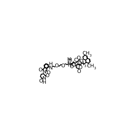 CC1C=C2C=CC(C)C(CC[C@@H]3C[C@@H](O)CC(=O)O3)C2C(OC(=O)C(C)(C)CCC(=O)NCCOCCOCCNc2cccc3c2C(=O)N(C2CCC(=O)NC2=O)C3=O)C1